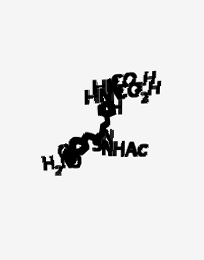 CC(=O)Nc1nc(CCc2ccc(NC(NC(=O)O)NC(=O)O)cc2)c(Cc2ccc(S(N)(=O)=O)cc2)s1